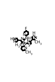 Cc1cccc(Nc2nc(-c3c[nH]nc3C)cs2)n1.Cc1sc(Nc2ccc(F)cn2)nc1-c1cn[nH]c1